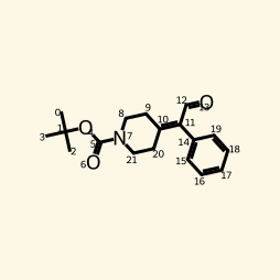 CC(C)(C)OC(=O)N1CCC(=C(C=O)c2ccccc2)CC1